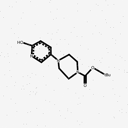 CC(C)(C)OC(=O)N1CCN(c2ccc(O)nc2)CC1